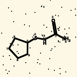 NC(=O)NSC1CCCC1